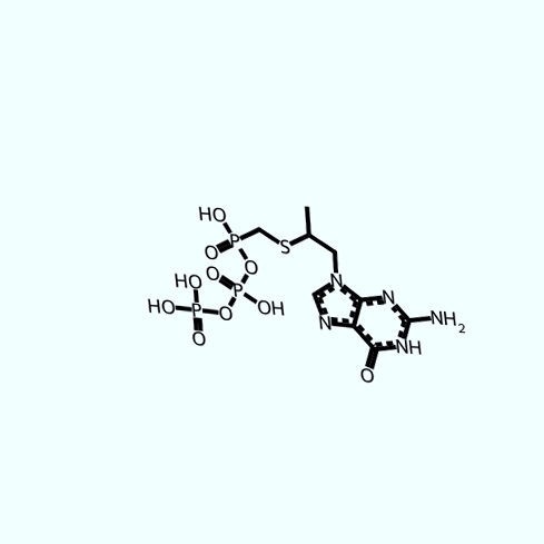 CC(Cn1cnc2c(=O)[nH]c(N)nc21)SCP(=O)(O)OP(=O)(O)OP(=O)(O)O